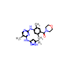 Cc1cc(Nc2nc(Nc3cc(C)c(C(=O)N4CCOCC4)cc3C)ncc2C)n[nH]1